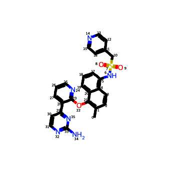 Cc1ccc2c(NS(=O)(=O)Cc3ccncc3)cccc2c1Oc1ncccc1-c1ccnc(N)n1